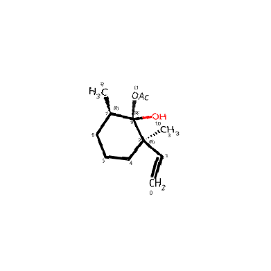 C=C[C@@]1(C)CCC[C@@H](C)[C@@]1(O)OC(C)=O